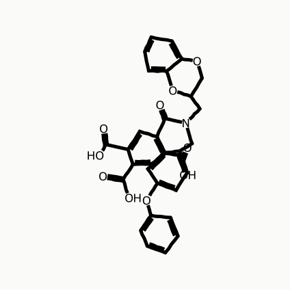 O=C(O)c1cc(C(=O)O)c(C(=O)N(Cc2ccc(Oc3ccccc3)cc2)CC2COc3ccccc3O2)cc1C(=O)O